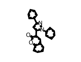 O=c1oc2ccccc2cc1-c1cc(-c2ccccc2)nn1-c1ccccc1